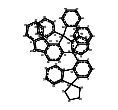 c1ccc(N(c2cccc3c2-c2ccccc2C32CCCC2)c2ccc3oc4ccccc4c3c2C2(c3ccccc3)c3ccccc3-c3ccccc32)cc1